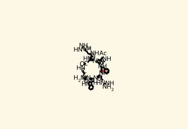 CC(=O)N[C@@H](CCCNC(=N)N)C(=O)NC1CCC(=O)NCCCC(C(N)=O)NC(=O)[C@H](Cc2c[nH]c3ccccc23)NC(=O)[C@H](CCCNC(=N)N)NC(=O)C(Cc2ccccc2)NC(=O)[C@H](Cc2c[nH]cn2)NC1=O